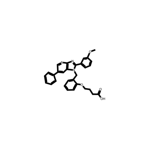 COc1cccc(-c2nc3ncc(-c4ccccc4)cc3n2Cc2ccccc2OCCCC(=O)O)c1